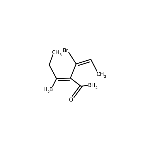 BC(=O)C(=C(\B)CC)/C(Br)=C\C